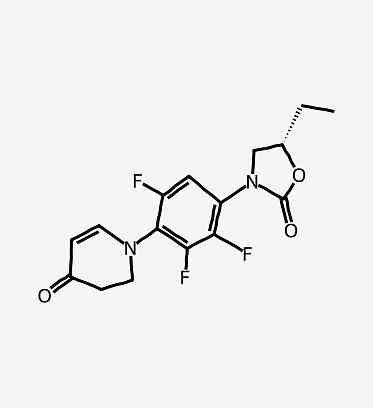 CC[C@H]1CN(c2cc(F)c(N3C=CC(=O)CC3)c(F)c2F)C(=O)O1